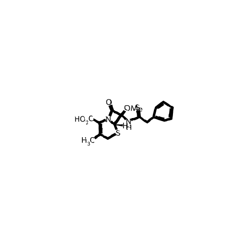 COC1(NC(=S)Cc2ccccc2)C(=O)N2C(C(=O)O)=C(C)CS[C@H]21